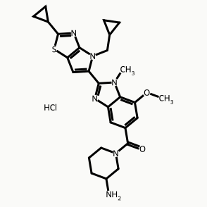 COc1cc(C(=O)N2CCCC(N)C2)cc2nc(-c3cc4sc(C5CC5)nc4n3CC3CC3)n(C)c12.Cl